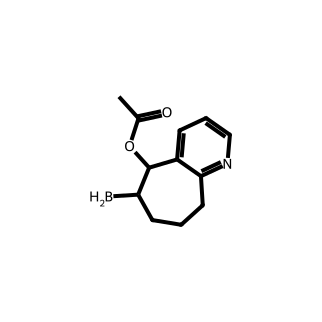 BC1CCCc2ncccc2C1OC(C)=O